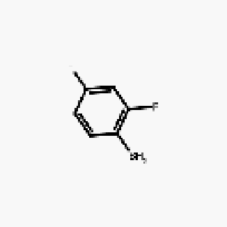 Bc1ccc(F)cc1F